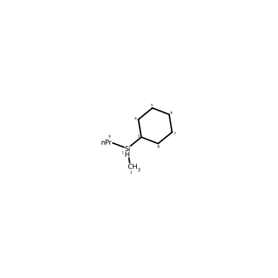 CCC[SiH](C)C1CCCCC1